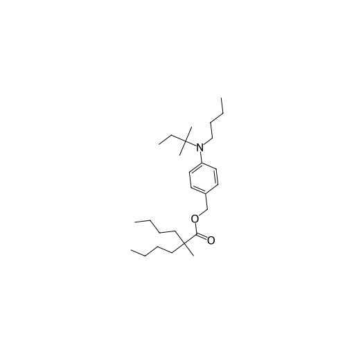 CCCCN(c1ccc(COC(=O)C(C)(CCCC)CCCC)cc1)C(C)(C)CC